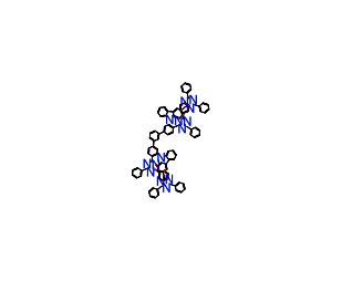 c1ccc(-c2nc(-c3ccccc3)nc(-c3ccc4c(c3)c3ccccc3n4-c3cc(-c4cccc(-c5ccc(-c6nc(-c7ccccc7)nc(-c7ccccc7)n6)c(-n6c7ccccc7c7cc(-c8nc(-c9ccccc9)nc(-c9ccccc9)n8)ccc76)c5)c4)ccc3-c3nc(-c4ccccc4)nc(-c4ccccc4)n3)n2)cc1